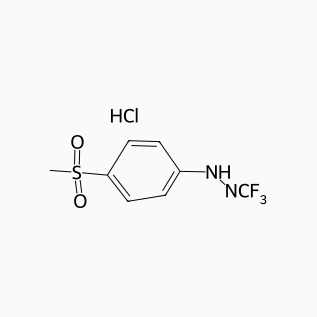 CS(=O)(=O)c1ccc(NNC(F)(F)F)cc1.Cl